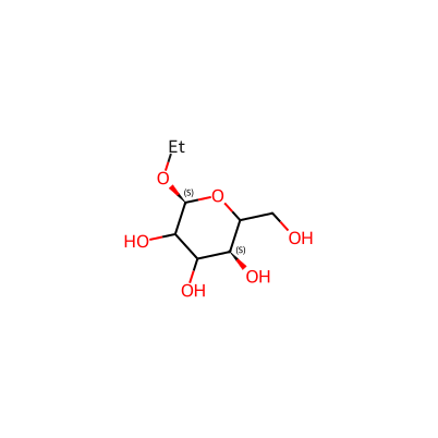 CCO[C@H]1OC(CO)[C@@H](O)C(O)C1O